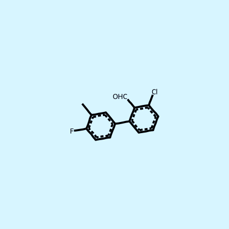 Cc1cc(-c2cccc(Cl)c2C=O)ccc1F